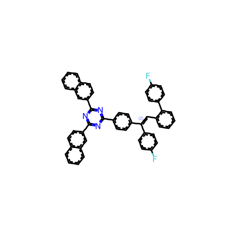 Fc1ccc(/C(=C\c2ccccc2-c2ccc(F)cc2)c2ccc(-c3nc(-c4ccc5ccccc5c4)nc(-c4ccc5ccccc5c4)n3)cc2)cc1